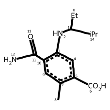 CCC(Nc1cc(C(=O)O)c(C)cc1C(N)=O)C(C)C